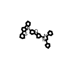 c1ccc(-c2cc(-c3ccccc3)nc(-c3ccc4c(c3)oc3cc(-n5c6ccccc6c6ccc7c8ccccc8sc7c65)ccc34)n2)cc1